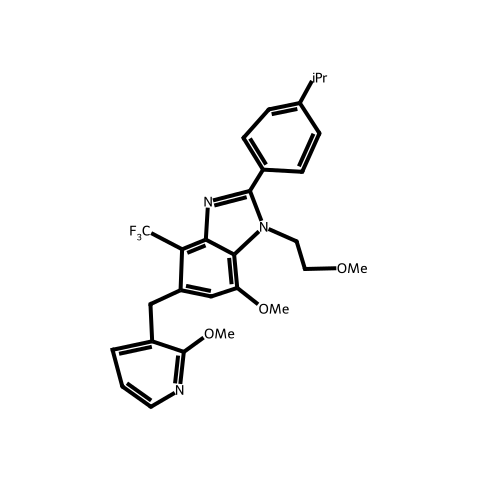 COCCn1c(-c2ccc(C(C)C)cc2)nc2c(C(F)(F)F)c(Cc3cccnc3OC)cc(OC)c21